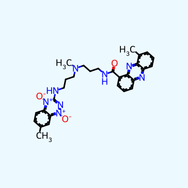 Cc1ccc2c(c1)[n+]([O-])nc(NCCCN(C)CCCNC(=O)c1cccc3nc4cccc(C)c4nc13)[n+]2[O-]